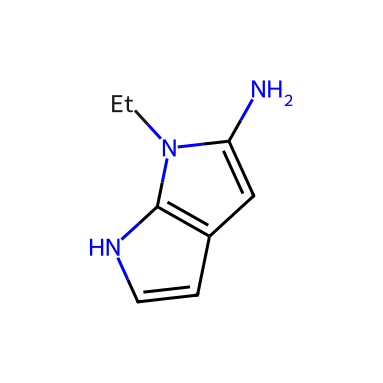 CCn1c(N)cc2cc[nH]c21